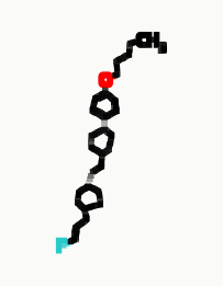 CCCCCOc1ccc([C@H]2CC[C@H](CC[C@H]3CC[C@H](CC=CF)CC3)CC2)cc1